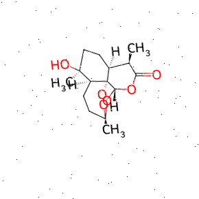 C[C@H]1C(=O)O[C@@H]2O[C@@]3(C)CC[C@@H]4[C@@]2(OO3)[C@H]1CC[C@]4(C)O